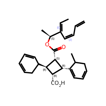 C=C/C=C\C(=C/C)[C@H](C)OC(=O)[C@@H]1[C@H](C2=CC=CCC2C)[C@H](C(=O)O)[C@H]1C1C=CC=CC1